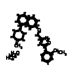 COc1ccccc1-c1nc(COc2ccc3cccc(N4CCN(C)CC4)c3c2)no1.Cl.Cl.O